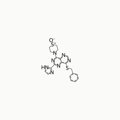 [O-][S+]1CCN(c2nc(-c3ncc[nH]3)nc3c(SCc4ccccc4)ncnc23)CC1